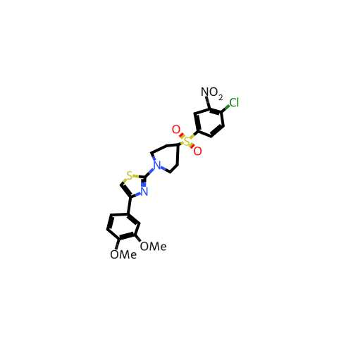 COc1ccc(-c2csc(N3CCC(S(=O)(=O)c4ccc(Cl)c([N+](=O)[O-])c4)CC3)n2)cc1OC